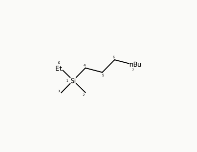 [CH2]C[Si](C)(C)CCCCCCC